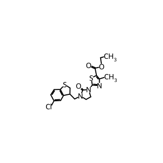 CCOC(=O)c1sc(N2CCN(CC3CSc4ccc(Cl)cc43)C2=O)nc1C